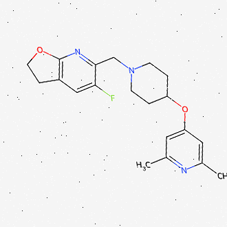 Cc1cc(OC2CCN(Cc3nc4c(cc3F)CCO4)CC2)cc(C)n1